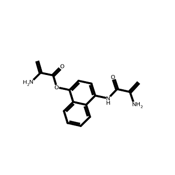 C=C(N)C(=O)Nc1ccc(OC(=O)C(=C)N)c2ccccc12